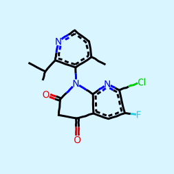 Cc1ccnc(C(C)C)c1N1C(=O)CC(=O)c2cc(F)c(Cl)nc21